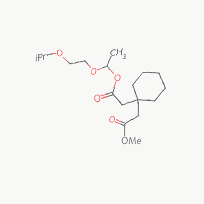 COC(=O)CC1(CC(=O)OC(C)OCCOC(C)C)CCCCC1